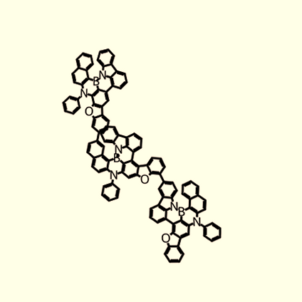 c1ccc(N2c3cc4c(oc5ccccc54)c4c3B(c3c2ccc2ccccc32)n2c3ccc(-c5cccc6c5oc5cc7c8c(c56)-c5cccc6c9ccccc9n(c56)B8c5c(ccc6ccc(-c8ccc9c(c8)oc8c%10c%11c(cc89)-c8cccc9c%12ccccc%12n(c89)B%11c8c(ccc9ccccc89)N%10c8ccccc8)cc56)N7c5ccccc5)cc3c3cccc-4c32)cc1